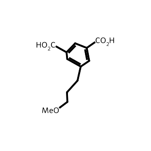 COCCCc1cc(C(=O)O)cc(C(=O)O)c1